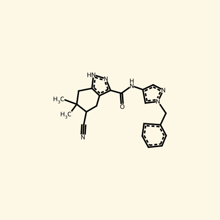 CC1(C)Cc2[nH]nc(C(=O)Nc3cnn(Cc4ccccc4)c3)c2CC1C#N